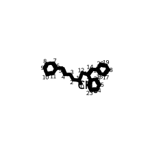 CC(CCC=Cc1ccccc1)CC(=Cc1ccccc1)c1ccccc1